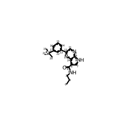 CCCNC(=O)c1c[nH]c2ncc(-c3cccc([Si](C)(C)C)c3)nc12